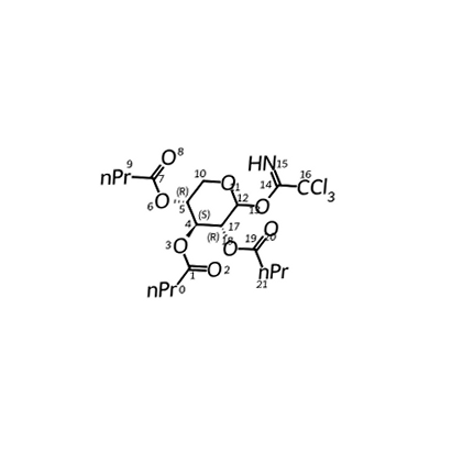 CCCC(=O)O[C@H]1[C@H](OC(=O)CCC)COC(OC(=N)C(Cl)(Cl)Cl)[C@@H]1OC(=O)CCC